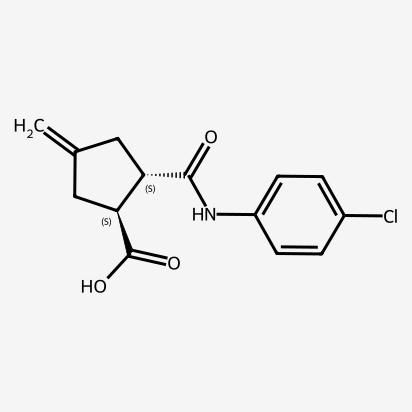 C=C1C[C@H](C(=O)O)[C@@H](C(=O)Nc2ccc(Cl)cc2)C1